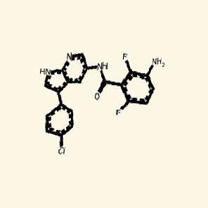 Nc1ccc(F)c(C(=O)Nc2cnc3[nH]cc(-c4ccc(Cl)cc4)c3c2)c1F